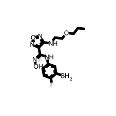 Bc1cc(N/C(=N\O)c2nonc2NCCOCCC)ccc1F